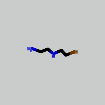 NCCNCCS